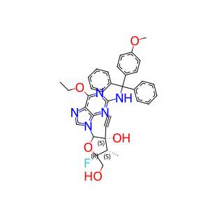 C#C[C@]1(O)C(n2cnc3c(OCC)nc(NC(c4ccccc4)(c4ccccc4)c4ccc(OC)cc4)nc32)O[C@](F)(CO)[C@H]1C